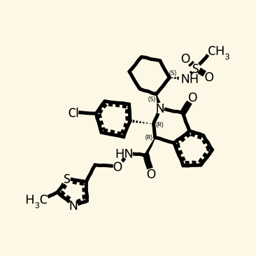 Cc1ncc(CONC(=O)[C@@H]2c3ccccc3C(=O)N([C@H]3CCCC[C@@H]3NS(C)(=O)=O)[C@H]2c2ccc(Cl)cc2)s1